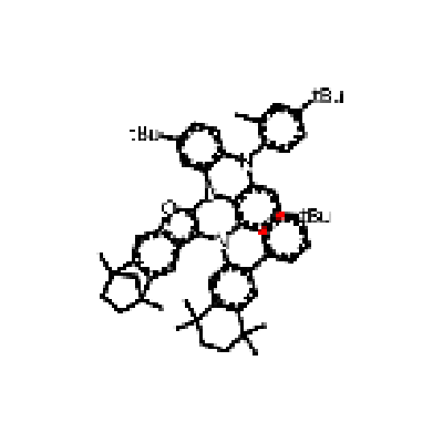 Cc1cc(C(C)(C)C)ccc1N1c2ccc(C(C)(C)C)cc2B2c3oc4cc5c(cc4c3N(c3cc4c(cc3-c3ccccc3)C(C)(C)CCC4(C)C)c3cc(C(C)(C)C)cc1c32)C1(C)CCC5(C)C1